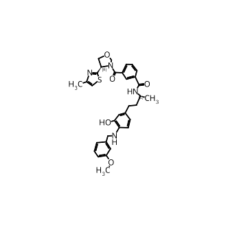 COc1cccc(CNc2ccc(CC[C@H](C)NC(=O)c3cccc(C(=O)N4COC[C@@H]4c4nc(C)cs4)c3)cc2O)c1